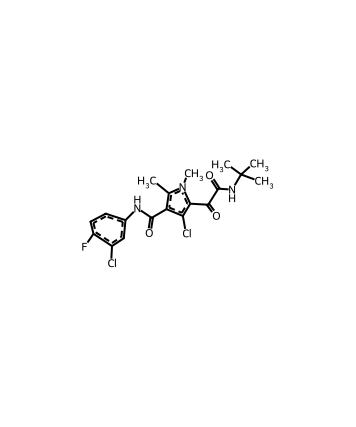 Cc1c(C(=O)Nc2ccc(F)c(Cl)c2)c(Cl)c(C(=O)C(=O)NC(C)(C)C)n1C